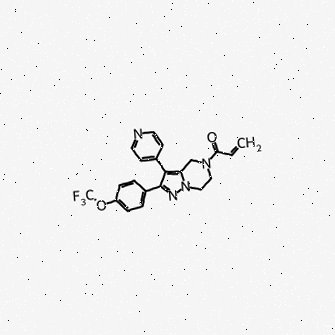 C=CC(=O)N1CCn2nc(-c3ccc(OC(F)(F)F)cc3)c(-c3ccncc3)c2C1